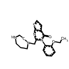 CCOc1ccccc1-n1c(CN2CCCNCC2)nc2sccc2c1=O